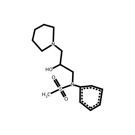 CS(=O)(=O)N(CC(O)CN1CCCCC1)c1[c]cccc1